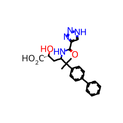 CC(C)(c1ccc(-c2ccccc2)cc1)C(C[C@@H](O)C(=O)O)NC(=O)c1c[nH]nn1